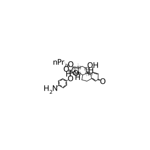 CCC[C@H]1O[C@@H]2C[C@H]3C4CCC5=CC(=O)C=C[C@]5(C)[C@H]4[C@@H](O)C[C@]3(C)[C@]2(C(=O)COc2ccc(N)cc2)O1